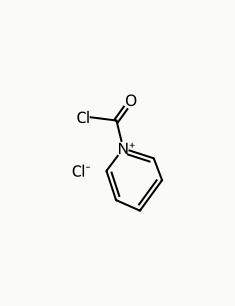 O=C(Cl)[n+]1ccccc1.[Cl-]